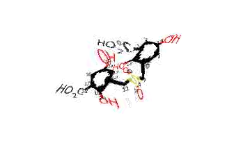 O=C(O)c1cc(O)cc(CS(=O)(=O)Cc2cc(O)cc(C(=O)O)c2O)c1O